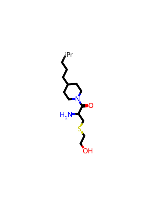 CC(C)CCCC1CCN(C(=O)C(N)CSCCO)CC1